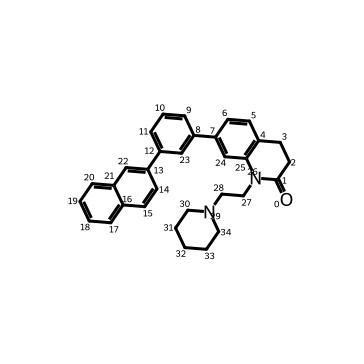 O=C1CCc2ccc(-c3cccc(-c4ccc5ccccc5c4)c3)cc2N1CCN1CCCCC1